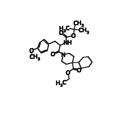 CCOC(=O)C1(C2CCCCC2)CCN(C(=O)C(Cc2ccc(OC)cc2)NC(=O)OC(C)(C)C)CC1